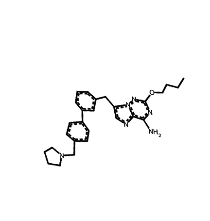 CCCCOc1nc(N)c2ncc(Cc3cccc(-c4ccc(CN5CCCC5)cc4)c3)n2n1